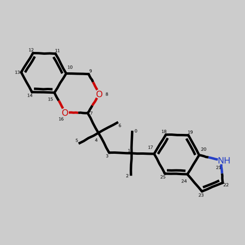 CC(C)(CC(C)(C)C1OCc2ccccc2O1)c1ccc2[nH]ccc2c1